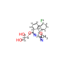 COC1(c2cccc(F)c2)c2ccccc2C(OCC(O)CO)=NC1C#N